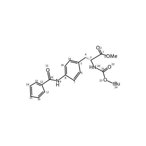 COC(=O)[C@@H](Cc1ccc(NC(=O)c2ccccc2)cc1)NC(=O)OC(C)(C)C